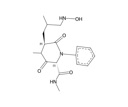 CNC(=O)[C@@H]1C(=O)C(C)[C@@H](CC(C)CNO)C(=O)N1c1ccccc1